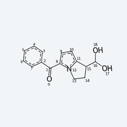 O=C(c1ccccc1)c1ccc2n1CCC2C(O)O